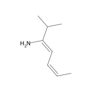 C/C=C\C=C(/N)C(C)C